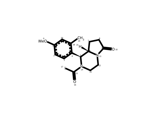 COc1ccc([C@H]2[C@@H]3CCC(=O)N3CCN2C(=O)I)c(C)c1